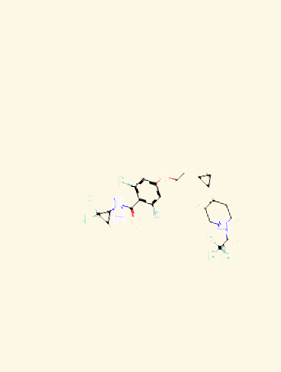 O=C(NC1CC1(F)F)c1c(F)cc(OCC[C@@H]2C[C@@H]2C2CCN(CC(F)(F)F)CC2)cc1F